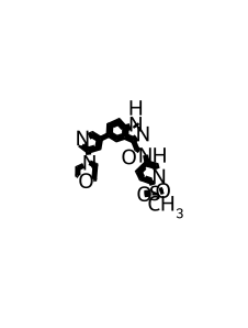 CS(=O)(=O)c1ccc(NC(=O)c2n[nH]c3ccc(-c4cncc(N5CCOCC5)c4)cc23)cn1